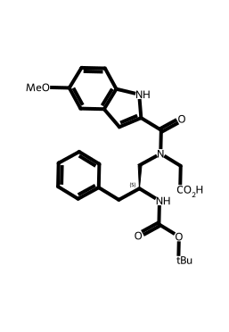 COc1ccc2[nH]c(C(=O)N(CC(=O)O)C[C@H](Cc3ccccc3)NC(=O)OC(C)(C)C)cc2c1